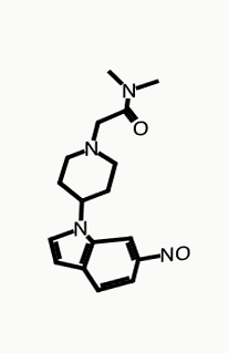 CN(C)C(=O)CN1CCC(n2ccc3ccc(N=O)cc32)CC1